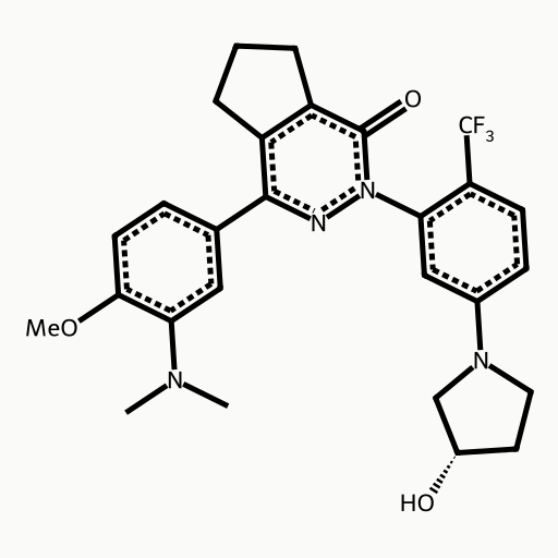 COc1ccc(-c2nn(-c3cc(N4CC[C@H](O)C4)ccc3C(F)(F)F)c(=O)c3c2CCC3)cc1N(C)C